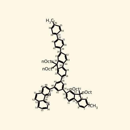 CCCCCCCCC1(CCCCCCCC)c2cc(C)ccc2-c2ccc(-c3cc(-c4ccc5c(c4)C(CCCCCCCC)(CCCCCCCC)c4cc(-c6ccc(-c7ccc(C)cc7)cc6)ccc4-5)cc(-c4ccc5ccc6cccnc6c5n4)c3)cc21